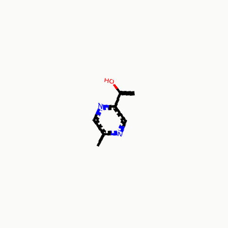 C=C(O)c1cnc(C)cn1